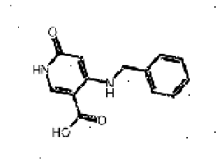 O=C(O)c1c[nH]c(=O)cc1NCc1ccccc1